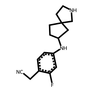 N#CCc1ccc(NC2CCC3(CCNC3)C2)cc1F